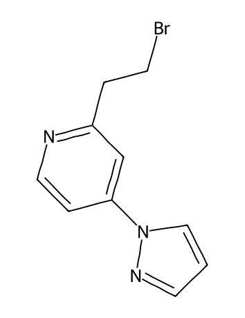 BrCCc1cc(-n2cccn2)ccn1